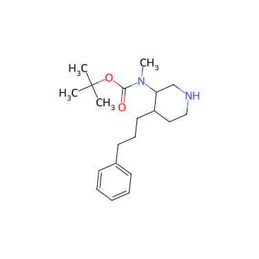 CN(C(=O)OC(C)(C)C)C1CNCCC1CCCc1ccccc1